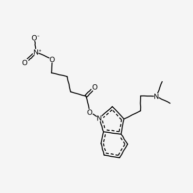 CN(C)CCc1cn(OC(=O)CCCO[N+](=O)[O-])c2ccccc12